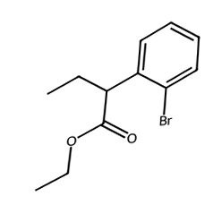 CCOC(=O)C(CC)c1ccccc1Br